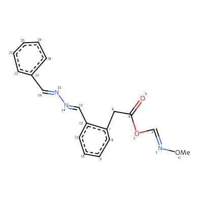 CON=COC(=O)Cc1ccccc1C=NN=Cc1ccccc1